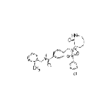 Cc1ccccc1CNC(=O)c1ccc(CN([C@@H]2CCCCNC2=O)S(=O)(=O)c2ccc(Cl)cc2)cc1